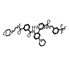 CN(CCN1CCOCC1)C(=O)c1cccc(C(=O)Nc2ccc(N3CCCCC3)cc2-c2cc(C(=O)NCc3cccc(C(F)(F)F)c3)ccn2)c1